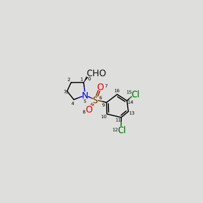 O=C[C@@H]1C[CH]CN1S(=O)(=O)c1cc(Cl)cc(Cl)c1